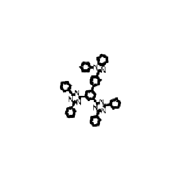 c1ccc(-c2nc(-c3ccccc3)nc(-c3cc(-c4ccc(-c5nc6ccccc6n5-c5ccccc5)cc4)cc(-c4nc(-c5ccccc5)nc(-c5ccccc5)n4)c3)n2)cc1